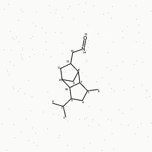 CC(C)C1CC(C)C2C3CC(CC3CN=O)C12